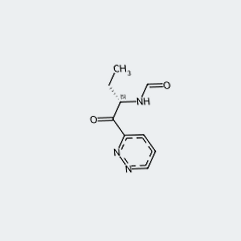 CC[C@H](NC=O)C(=O)c1cccnn1